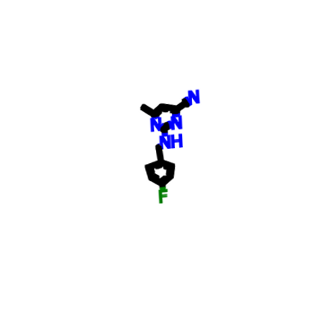 Cc1cc(C#N)nc(NCc2ccc(F)cc2)n1